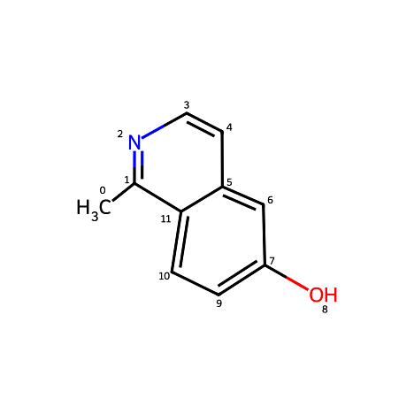 Cc1nccc2cc(O)ccc12